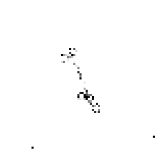 O=C(Cl)CCCCCCCCCC(=O)OCc1ccccc1